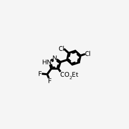 CCOC(=O)c1c(-c2ccc(Cl)cc2Cl)n[nH]c1C(F)F